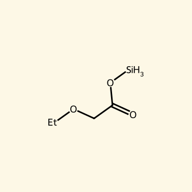 CCOCC(=O)O[SiH3]